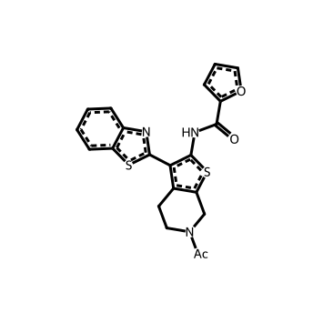 CC(=O)N1CCc2c(sc(NC(=O)c3ccco3)c2-c2nc3ccccc3s2)C1